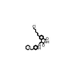 O=C1NC(=O)c2ccc(/C=C/CCCCl)cc2C1=CNc1ccc(CN2CCCCC2)cc1